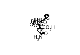 NC1C(=O)N2C(C(=O)O)=C(c3cnc(NC(=O)c4cccs4)s3)CSC12.O=C(O)C(F)(F)F